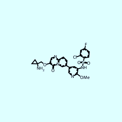 COc1ncc(-c2ccc3ncc(OCC4(N)CC4)c(=O)n3c2)cc1NS(=O)(=O)c1ccc(F)cc1Cl